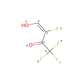 O=C(/C(F)=C\O)C(F)(F)F